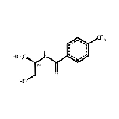 O=C(N[C@@H](CO)C(=O)O)c1ccc(C(F)(F)F)cc1